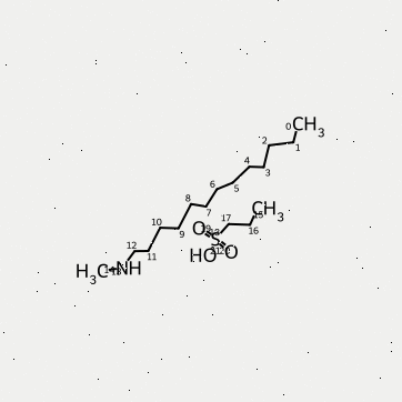 CCCCCCCCCCCCCNC.CCCS(=O)(=O)O